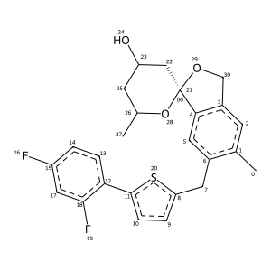 Cc1cc2c(cc1Cc1ccc(-c3ccc(F)cc3F)s1)[C@]1(CC(O)CC(C)O1)OC2